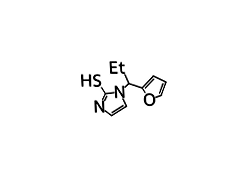 CCC(c1ccco1)n1ccnc1S